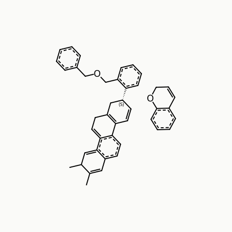 C1=Cc2ccccc2OC1.CC1=Cc2ccc3c(c2=CC1C)=CCC1=C3C=C[C@@H](c2ccccc2COCc2ccccc2)C1